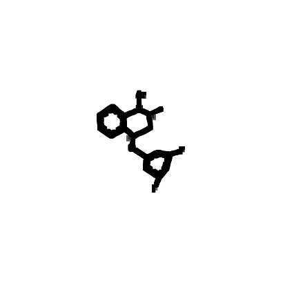 CC(=O)N1c2ccccc2[C@H](Oc2cc(F)cc(F)c2)C[C@@H]1C